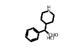 Cl.O=CC(c1ccccc1)C1CCNCC1